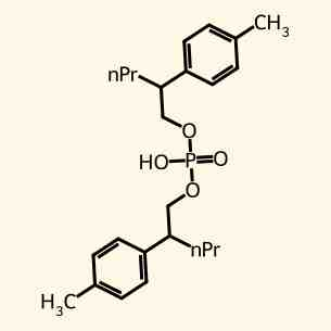 CCCC(COP(=O)(O)OCC(CCC)c1ccc(C)cc1)c1ccc(C)cc1